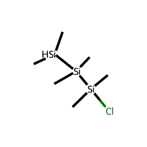 C[SiH](C)[Si](C)(C)[Si](C)(C)Cl